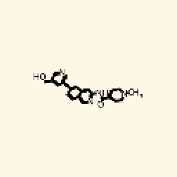 CN1CCC(C(=O)Nc2cc3cc(-c4cncc(CO)c4)ccc3cn2)CC1